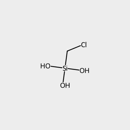 O[Si](O)(O)CCl